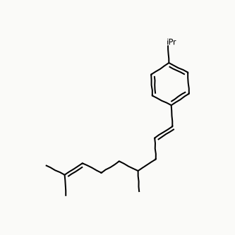 CC(C)=CCCC(C)C/C=C/c1ccc(C(C)C)cc1